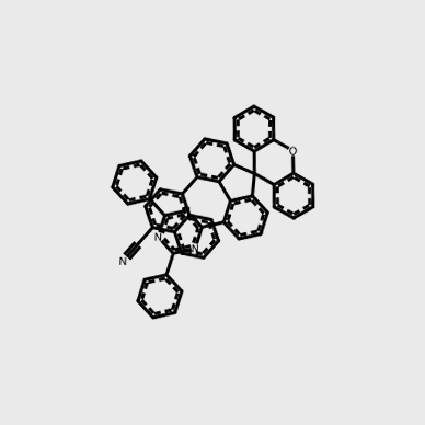 N#Cc1ccc(-c2cccc3c2-c2c(-c4nc(-c5ccccc5)nc(-c5ccccc5)n4)cccc2C32c3ccccc3Oc3ccccc32)c2ccccc12